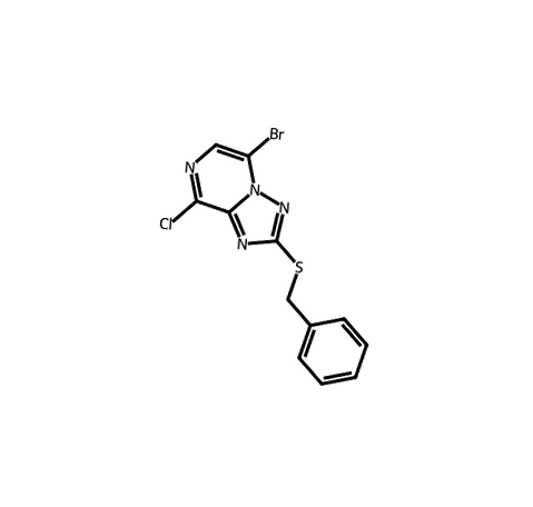 Clc1ncc(Br)n2nc(SCc3ccccc3)nc12